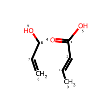 C/C=C/C(=O)O.C=CCO